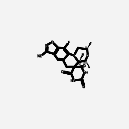 C[C@H]1CN2c3c(cc4c(C#N)noc4c3F)CC3(C(=O)NC(=O)NC3=O)[C@@H]2[C@@H](C)O1